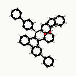 c1ccc(-c2ccc(N(c3ccc4c(c3)sc3ccccc34)c3c(-c4ccccc4)c4cc(-c5ccccc5)ccc4c4ccccc34)cc2)cc1